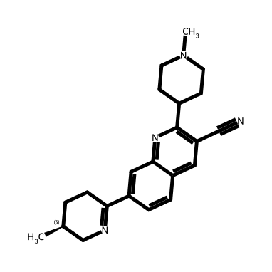 C[C@H]1CCC(c2ccc3cc(C#N)c(C4CCN(C)CC4)nc3c2)=NC1